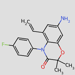 C=Cc1cc(N)cc2c1N(c1ccc(F)cc1)C(=O)C(C)(C)O2